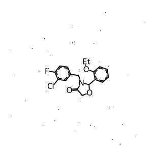 CCOc1ccccc1C1OCC(=O)N1Cc1ccc(F)c(Cl)c1